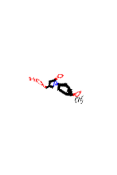 COc1ccc(N2CC(CO)CC2=O)cc1